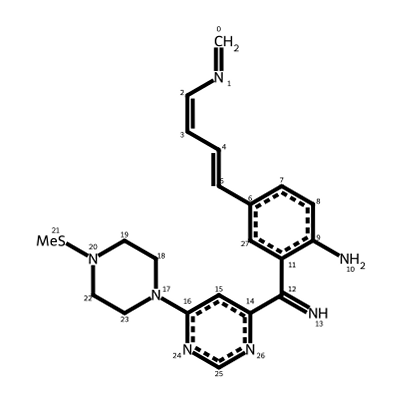 C=N/C=C\C=C\c1ccc(N)c(C(=N)c2cc(N3CCN(SC)CC3)ncn2)c1